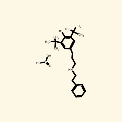 CC(C)(C)c1cc(CCCNCCc2ccccc2)cc(C(C)(C)C)c1O.O=S(O)O